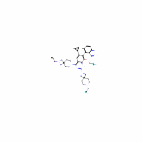 C=CC(=O)N1CC2(CCN(c3nc(N4CC5(CCN(CC(F)(F)F)CC5)C4)nc4c(OCC(F)(F)F)c(-c5c(C)ccc6[nH]ncc56)c(C5CC5)cc34)CC2)C1